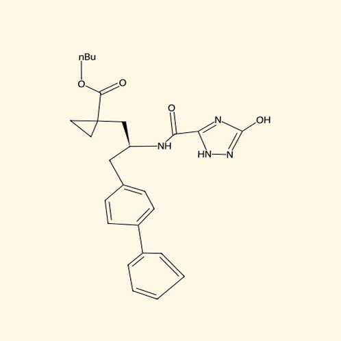 CCCCOC(=O)C1(C[C@H](Cc2ccc(-c3ccccc3)cc2)NC(=O)c2nc(O)n[nH]2)CC1